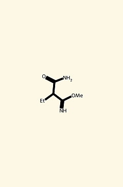 CCC(C(=N)OC)C(N)=O